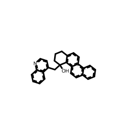 OC1(Cc2ccnc3ccccc23)CCCc2ccc3c(ccc4ccccc43)c21